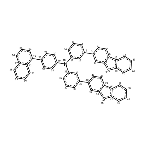 c1cc(-c2ccc3c(c2)sc2ccccc23)cc(N(c2ccc(-c3cccc4ccccc34)cc2)c2cccc(-c3ccc4c(c3)sc3ccccc34)c2)c1